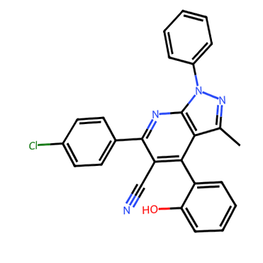 Cc1nn(-c2ccccc2)c2nc(-c3ccc(Cl)cc3)c(C#N)c(-c3ccccc3O)c12